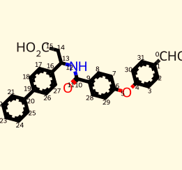 O=Cc1ccc(Oc2ccc(C(=O)NC(CC(=O)O)c3ccc(-c4ccccc4)cc3)cc2)cc1